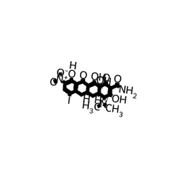 CN(C)[C@@H]1C(O)=C(C(N)=O)C(=O)[C@@]2(O)C(O)=C3C(=O)c4c(O)c([N+](=O)[O-])cc(I)c4C[C@H]3C[C@@H]12